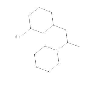 CC(C)C1CCCC(CC(C)N2CCCCC2)C1